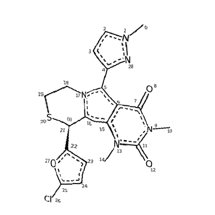 Cn1ccc(-c2c3c(=O)n(C)c(=O)n(C)c3c3n2CCS[C@@H]3c2ccc(Cl)o2)n1